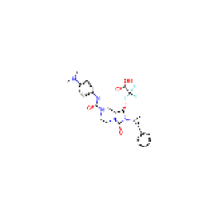 CN(C)c1ccc(NC(=O)N2CCN3C(=O)N(C4CC4c4ccccc4)C(=O)C3C2)cc1.O=C(O)C(F)(F)F